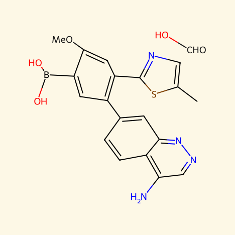 COc1cc(-c2ncc(C)s2)c(-c2ccc3c(N)cnnc3c2)cc1B(O)O.O=CO